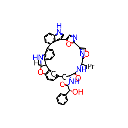 CC(C)C1NC(=O)[C@@H](NC(=O)[C@@H](O)c2ccccc2)Cc2ccc3c(c2)C2c4cccc(c4N[C@H]2O3)-c2cccc3[nH]cc(c23)-c2cnc(o2)-c2coc1n2